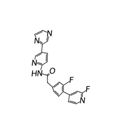 O=C(Cc1ccc(-c2ccnc(F)c2)c(F)c1)Nc1ccc(-c2cnccn2)cn1